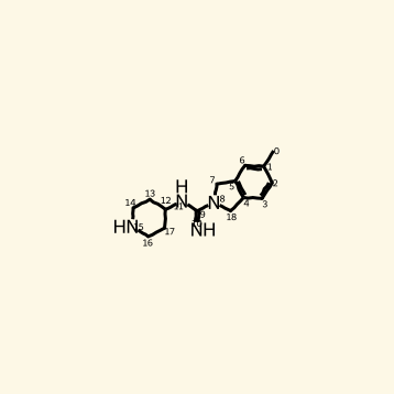 Cc1ccc2c(c1)CN(C(=N)NC1CCNCC1)C2